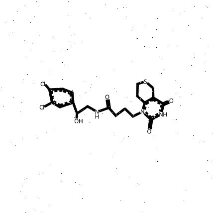 O=C(CCCn1c2c(c(=O)[nH]c1=O)CSCC2)NCC(O)c1ccc(Cl)c(Cl)c1